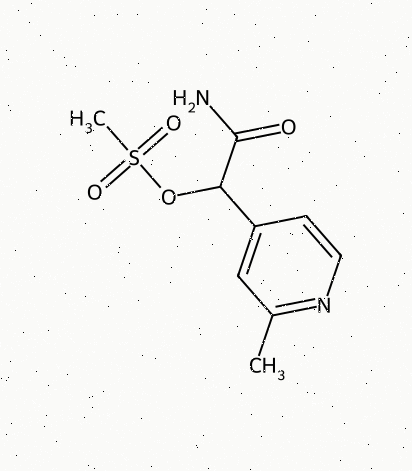 Cc1cc(C(OS(C)(=O)=O)C(N)=O)ccn1